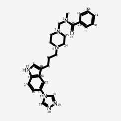 CN(CN1CCN(CCCc2c[nH]c3ccc(-n4cnnc4)cc23)CC1)C(=O)c1ccccc1